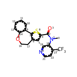 CN(C(=O)c1cc2c(s1)-c1ccccc1OCC2)c1cnccc1C(F)(F)F